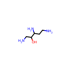 NCCC(N)C(O)CN